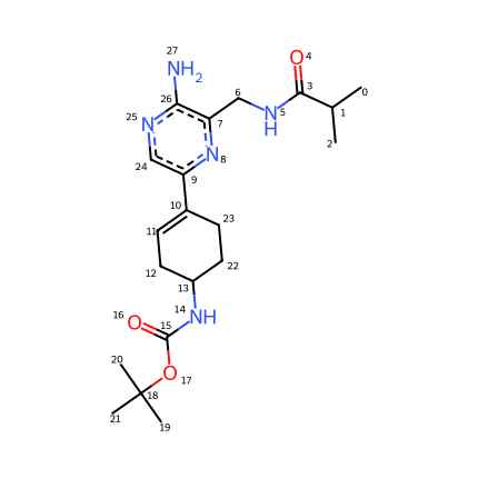 CC(C)C(=O)NCc1nc(C2=CCC(NC(=O)OC(C)(C)C)CC2)cnc1N